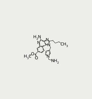 CCCCc1nc2c(N)nc3cc(C(=O)OC)ccc3c2n1Cc1ccn(CN)c1